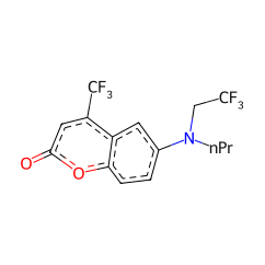 CCCN(CC(F)(F)F)c1ccc2oc(=O)cc(C(F)(F)F)c2c1